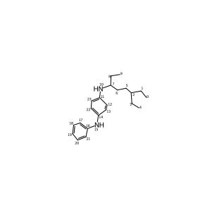 CCC(CC)CCC(CC)Nc1ccc(Nc2ccccc2)cc1